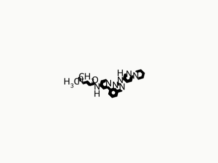 CN(C)CC=CC(=O)Nc1ccnc(-c2cccc3cnc(Nc4ccc(N5CCCCC5)nc4)nc23)c1